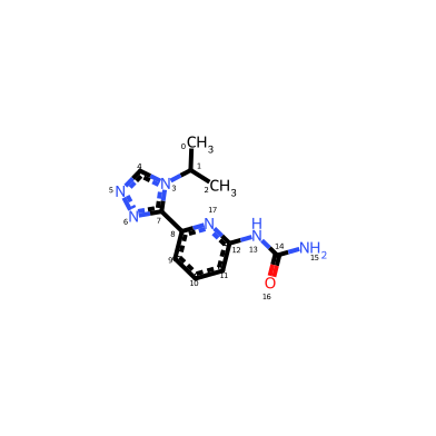 CC(C)n1cnnc1-c1cccc(NC(N)=O)n1